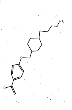 CCCCCC1CCC(COc2ccc(C(=O)O)cc2)CC1